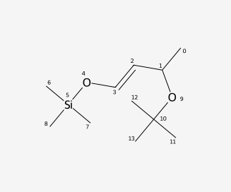 CC(C=CO[Si](C)(C)C)OC(C)(C)C